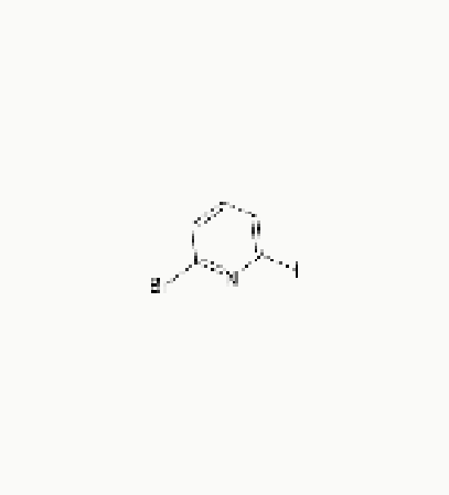 Brc1cccc(I)n1